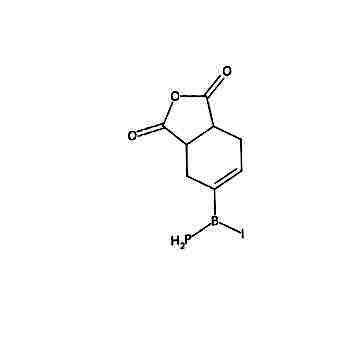 O=C1OC(=O)C2CC(B(P)I)=CCC12